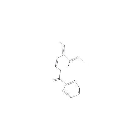 C/C=C(\C=C/CC(=O)c1ccccc1)C(/S)=C/N